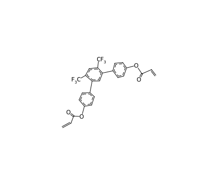 C=CC(=O)Oc1ccc(-c2cc(-c3ccc(OC(=O)C=C)cc3)c(C(F)(F)F)cc2C(F)(F)F)cc1